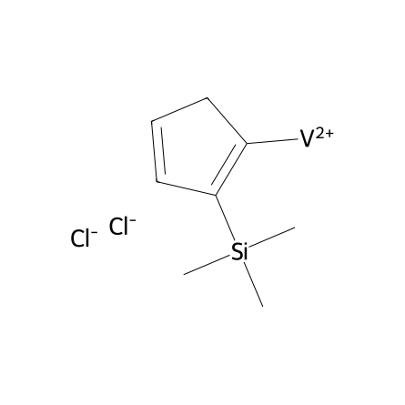 C[Si](C)(C)C1=[C]([V+2])CC=C1.[Cl-].[Cl-]